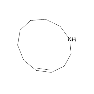 C1=C\CCNCCCCCC/1